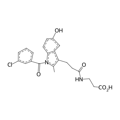 Cc1c(CCC(=O)NCCC(=O)O)c2cc(O)ccc2n1C(=O)c1cccc(Cl)c1